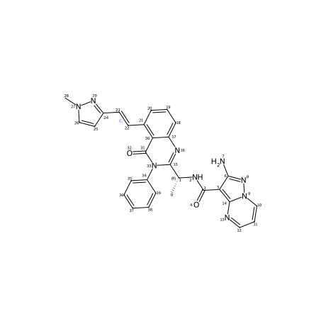 C[C@@H](NC(=O)c1c(N)nn2cccnc12)c1nc2cccc(/C=C/c3ccn(C)n3)c2c(=O)n1-c1ccccc1